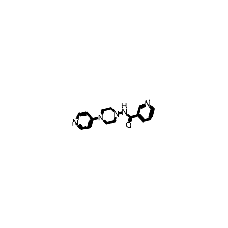 O=C(NN1CCN(c2ccncc2)CC1)c1cccnc1